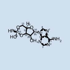 Nc1ncnc2c1ncn2[C@@H]1O[C@@H]2COP(O)(=P)OC2[C@@H]1O